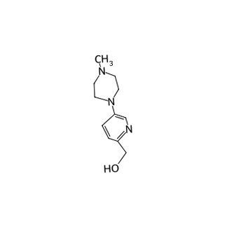 CN1CCN(c2ccc(CO)nc2)CC1